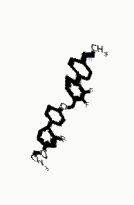 C/C=C/C1CCC(c2ccc(COC3CCC(c4ccc(OCC)cc4F)CC3)c(F)c2F)CC1